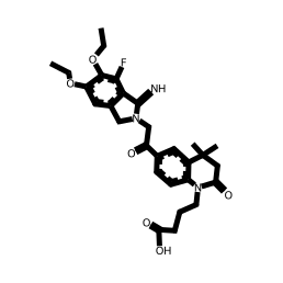 CCOc1cc2c(c(F)c1OCC)C(=N)N(CC(=O)c1ccc3c(c1)C(C)(C)CC(=O)N3CCCC(=O)O)C2